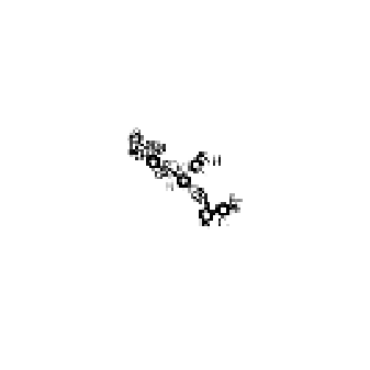 CC(=O)N1CCOCC1CNc1ccc(S(=O)(=O)NC(=O)c2ccc(N3CCN(CC4=C(c5ccc(C(F)(F)F)cc5Cl)CC(C)(C)CC4)CC3)cc2Oc2cnc3[nH]ccc3c2)cc1[N+](=O)[O-]